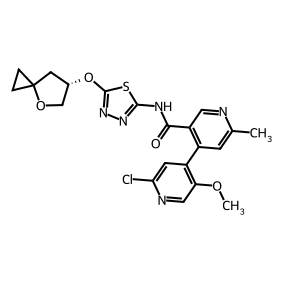 COc1cnc(Cl)cc1-c1cc(C)ncc1C(=O)Nc1nnc(O[C@@H]2COC3(CC3)C2)s1